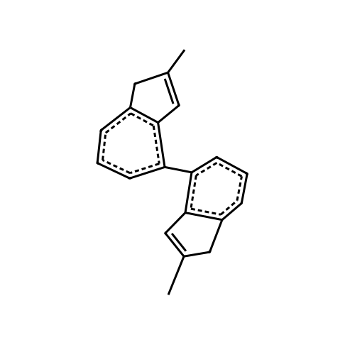 CC1=Cc2c(cccc2-c2cccc3c2C=C(C)C3)C1